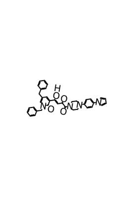 O=C(C=C(O)c1cc(Cc2ccccc2)cn(Cc2ccccc2)c1=O)C(=O)N1CCN(c2ccc(-n3cccc3)cc2)CC1